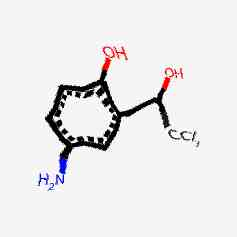 Nc1ccc(O)c(C(O)C(Cl)(Cl)Cl)c1